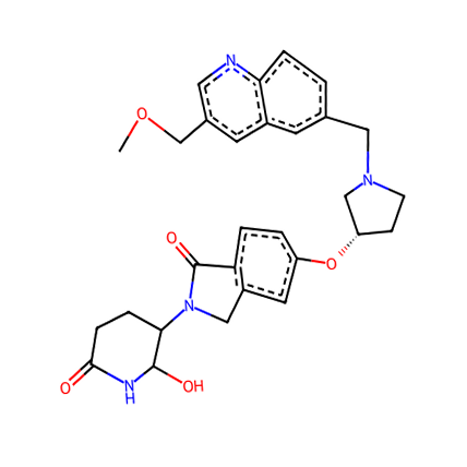 COCc1cnc2ccc(CN3CC[C@H](Oc4ccc5c(c4)CN(C4CCC(=O)NC4O)C5=O)C3)cc2c1